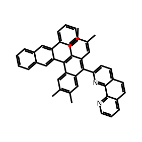 Cc1cc2c(-c3ccc4ccc5cccnc5c4n3)c3cc(C)c(C)cc3c(-c3cc4ccccc4cc3-c3ccccc3)c2cc1C